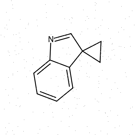 C1=Nc2ccccc2C12CC2